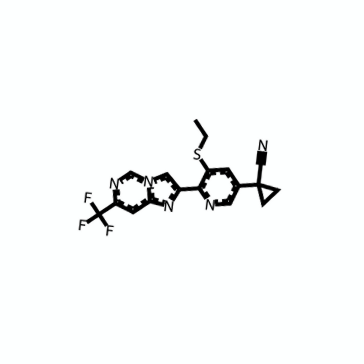 CCSc1cc(C2(C#N)CC2)cnc1-c1cn2cnc(C(F)(F)F)cc2n1